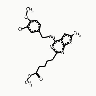 COC(=O)CCCCc1nc(NCc2ccc(OC)c(Cl)c2)c2cc(C)sc2n1